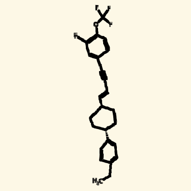 CCc1ccc([C@H]2CC[C@H](C=CC#Cc3ccc(OC(F)(F)F)c(F)c3)CC2)cc1